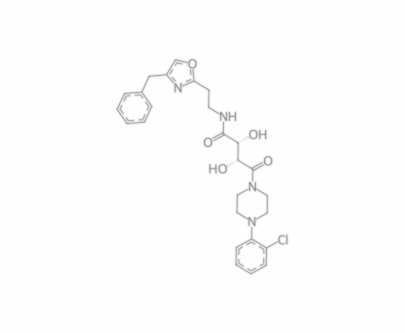 O=C(NCCc1nc(Cc2ccccc2)co1)[C@H](O)[C@@H](O)C(=O)N1CCN(c2ccccc2Cl)CC1